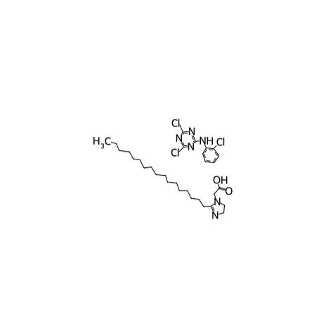 CCCCCCCCCCCCCCCCCC1=NCCN1CC(=O)O.Clc1nc(Cl)nc(Nc2ccccc2Cl)n1